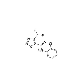 FC(F)c1nnsc1C(=S)Nc1ccccc1Cl